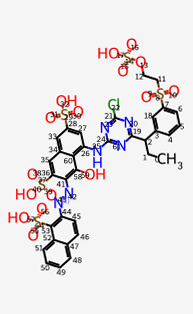 CCC(c1cccc(S(=O)(=O)CCOS(=O)(=O)O)c1)c1nc(Cl)nc(Nc2cc(S(=O)(=O)O)cc3cc(S(=O)(=O)O)c(/N=N/c4ccc5ccccc5c4S(=O)(=O)O)c(O)c23)n1